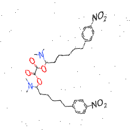 CN(C)C(CCCCCc1ccc([N+](=O)[O-])cc1)OC(=O)C(=O)OC(CCCCCc1ccc([N+](=O)[O-])cc1)N(C)C